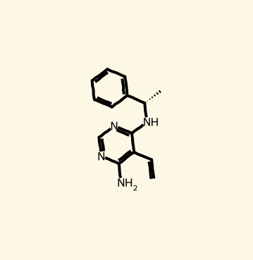 C=Cc1c(N)ncnc1N[C@@H](C)c1ccccc1